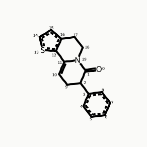 O=C1C(c2ccccc2)CC=C2c3sccc3CCN12